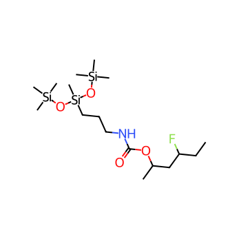 CCC(F)CC(C)OC(=O)NCCC[Si](C)(O[Si](C)(C)C)O[Si](C)(C)C